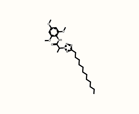 CCCCCCCCCCCCc1nnn(C(C)C(=O)Nc2c(OC)cc(OC)cc2OC)n1